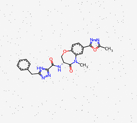 Cc1nnc(-c2ccc3c(c2)N(C)C(=O)[C@H](NC(=O)c2nnc(Cc4ccccc4)[nH]2)CO3)o1